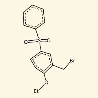 CCOc1ccc(S(=O)(=O)c2ccccc2)cc1CBr